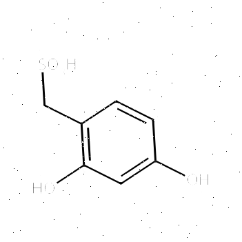 O=S(=O)(O)Cc1ccc(O)cc1O